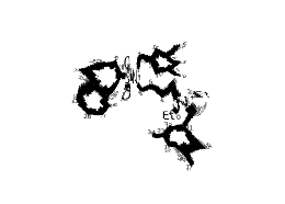 CC[N+](CC)(CCCCN(Cc1cc(C)cc(C)c1)S(=O)(=O)c1cccc2ccccc12)Cc1cc(C)cc(C)c1